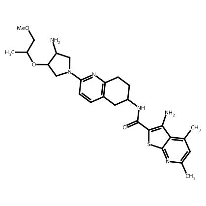 COCC(C)OC1CN(c2ccc3c(n2)CCC(NC(=O)c2sc4nc(C)cc(C)c4c2N)C3)CC1N